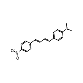 CN(C)c1ccc(/C=C/C=C/c2ccc([N+](=O)[O-])cc2)cc1